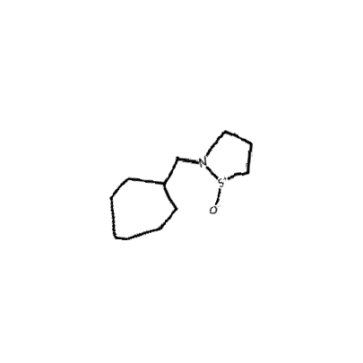 [O-][S+]1CCCN1CC1CCCCC1